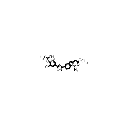 COC(=O)Cc1cc2cc(-c3noc(-c4cnc(OC(C)C)c(Cl)c4)n3)ccc2n1C